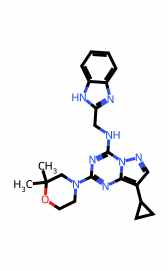 CC1(C)CN(c2nc(NCc3nc4ccccc4[nH]3)n3ncc(C4CC4)c3n2)CCO1